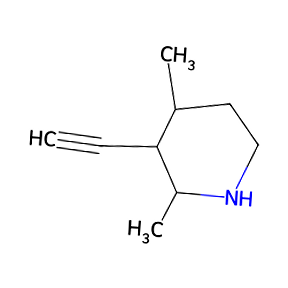 C#CC1C(C)CCNC1C